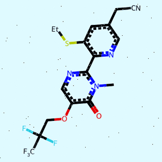 CCSc1cc(CC#N)cnc1-c1ncc(OCC(F)(F)C(F)(F)F)c(=O)n1C